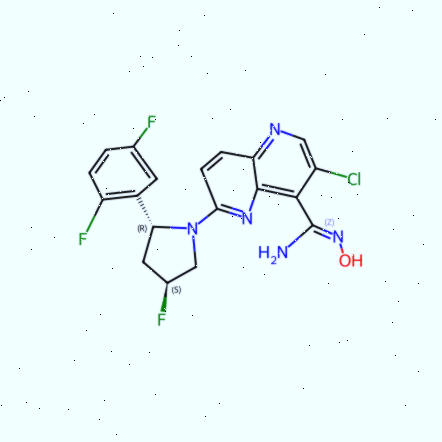 N/C(=N\O)c1c(Cl)cnc2ccc(N3C[C@@H](F)C[C@@H]3c3cc(F)ccc3F)nc12